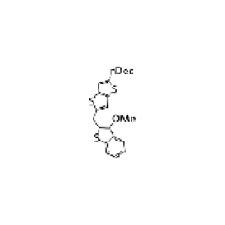 CCCCCCCCCCc1cc2sc(Cc3sc4ccccc4c3OC)cc2s1